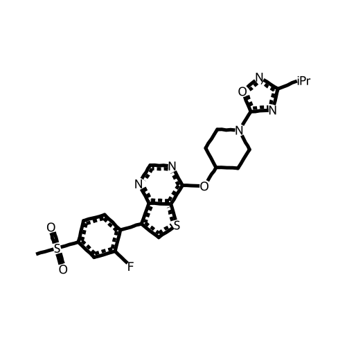 CC(C)c1noc(N2CCC(Oc3ncnc4c(-c5ccc(S(C)(=O)=O)cc5F)csc34)CC2)n1